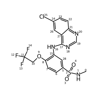 CNS(=O)(=O)c1ccc(OCC(F)(F)F)c(Nc2ncnc3ccc(Cl)cc23)c1